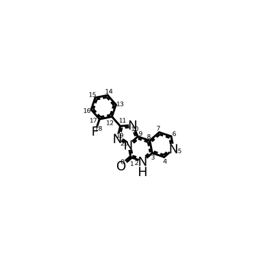 O=c1[nH]c2cnccc2c2nc(-c3ccccc3F)nn12